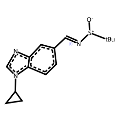 CC(C)(C)[S+]([O-])/N=C/c1ccc2c(c1)ncn2C1CC1